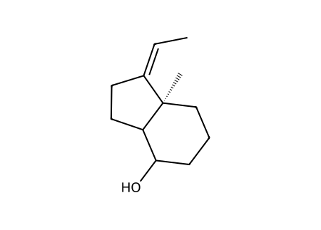 C/C=C1/CCC2C(O)CCC[C@]12C